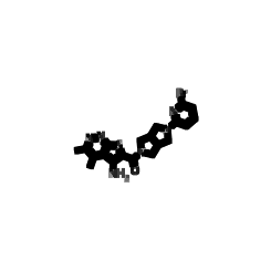 Cc1nnc2sc(C(=O)N3CC4CN(c5cccc(Br)n5)CC4C3)c(N)c2c1C